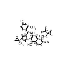 Cc1nc(F)ccc1[C@H](Nc1cc(C#N)c2ncc(C#N)c(NCC3(C(F)F)CC3)c2c1)c1cn(C2(C(F)(F)F)CC2)nn1